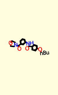 CCCCOc1ccc(C(=O)Nc2cccc(C(=O)N3CCOCC3)c2)cc1